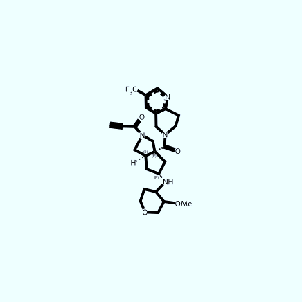 C#CC(=O)N1C[C@@H]2C[C@@H](NC3CCOCC3OC)C[C@]2(C(=O)N2CCc3ncc(C(F)(F)F)cc3C2)C1